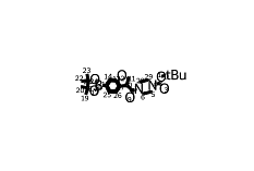 CC(C)(C)OC(=O)N1CCN(C(=O)C2COc3cc(B4OC(C)(C)C(C)(C)O4)ccc32)CC1